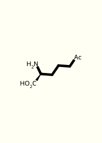 CC(=O)CCC[C@H](N)C(=O)O